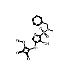 CCOc1c(Nc2csc(S(=O)(=O)N(C)Cc3ccccc3)c2O)c(=O)c1=O